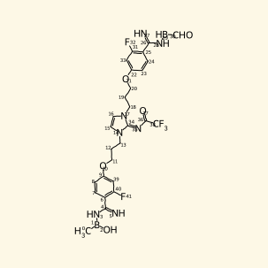 CB(O)NC(=N)c1ccc(OCCCn2ccn(CCCOc3ccc(C(=N)NBC=O)c(F)c3)/c2=N\C(=O)C(F)(F)F)cc1F